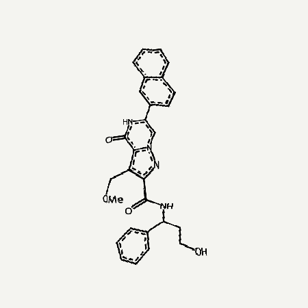 COCc1c(C(=O)NC(CCO)c2ccccc2)nn2cc(-c3ccc4ccccc4c3)[nH]c(=O)c12